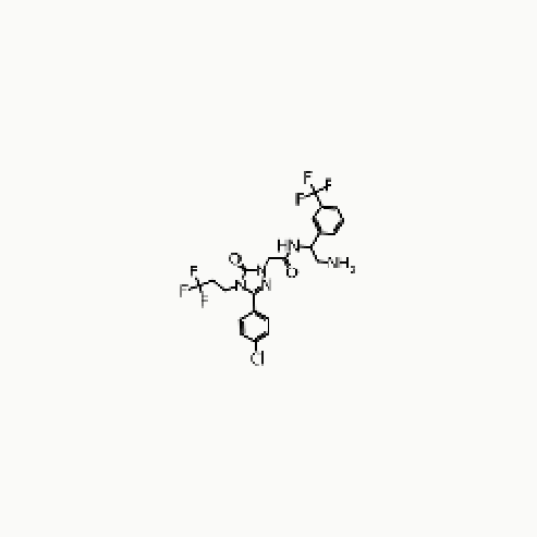 NCC(NC(=O)Cn1nc(-c2ccc(Cl)cc2)n(CCC(F)(F)F)c1=O)c1cccc(C(F)(F)F)c1